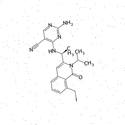 CC(C)n1c([C@H](C)Nc2nc(N)ncc2C#N)cc2cccc(CI)c2c1=O